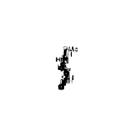 COCCNCc1[nH]c(-c2cc3nccc(Oc4ccc(NC(=S)NC(=O)Cc5ccccc5)cc4F)c3s2)nc1C